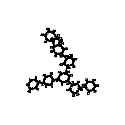 c1ccc(-c2ccc(-c3cc(-c4cccc(-c5ccccc5)c4)cc(-c4cccc(-c5ccc6c(c5)oc5ccccc56)c4)c3)cc2)cc1